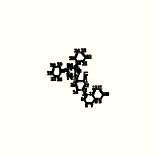 Fc1cc(-c2cccc3ccccc23)ccc1-c1nc(-c2ccccc2)nc(-c2ccccc2)n1